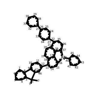 CC1(C)c2ccccc2-c2ccc(-c3ccc4c5c3ccc3c(-c6ccc(-c7ccccc7)cc6)ccc(c35)n4-c3ccccc3)cc21